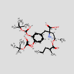 CCCC(C)C(=O)O[C@@H](C)CC(N)(Cc1ccc(OC(=O)OC(C)(C)C)c(OC(=O)OC(C)(C)C)c1)C(=O)O